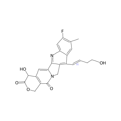 Cc1cc2c(/C=C/CCO)c3c(nc2cc1F)-c1cc2c(c(=O)n1C3)COC(=O)C2O